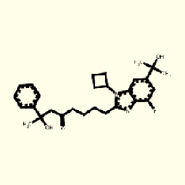 CC(C)(O)c1cc(F)c2nc(CCCCC(=O)CC(C)(O)c3ccccc3)n(C3CCC3)c2c1